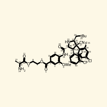 COc1cc(C(=O)OCCOC(=O)[C@H](C)N)ccc1NC(=O)[C@@H]1N[C@@H](CC(C)(C)C)[C@](C#N)(c2ccc(Cl)cc2F)[C@H]1c1cccc(Cl)c1F